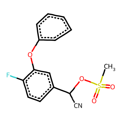 CS(=O)(=O)OC(C#N)c1ccc(F)c(Oc2ccccc2)c1